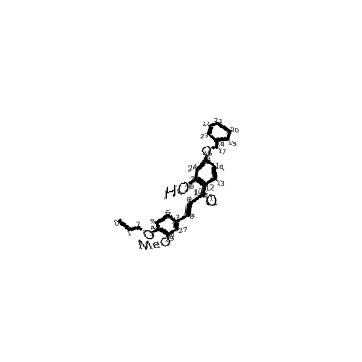 C=CCOc1ccc(/C=C/C(=O)c2ccc(OCc3ccccc3)cc2O)cc1OC